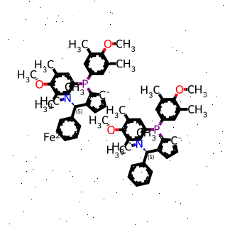 COc1c(C)cc(P(c2cc(C)c(OC)c(C)c2)c2[cH-]ccc2[C@H](c2ccccc2)N(C)C)cc1C.COc1c(C)cc(P(c2cc(C)c(OC)c(C)c2)c2[cH-]ccc2[C@H](c2ccccc2)N(C)C)cc1C.[Fe+2]